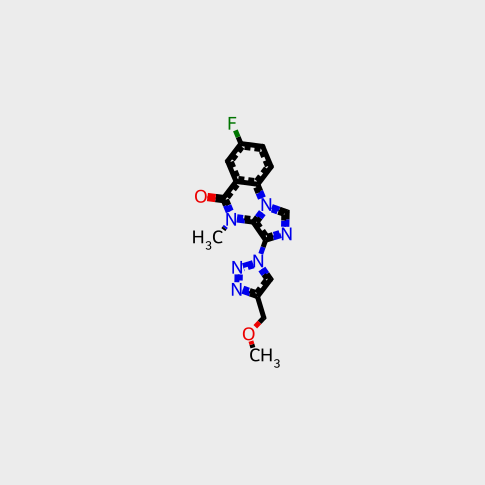 COCc1cn(-c2ncn3c4ccc(F)cc4c(=O)n(C)c23)nn1